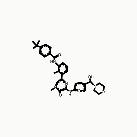 Cc1c(NC(=O)c2ccc(C(C)(C)C)cc2)cccc1-c1cn(C)c(=O)c(Nc2ccc(C(O)N3CCOCC3)cc2)n1